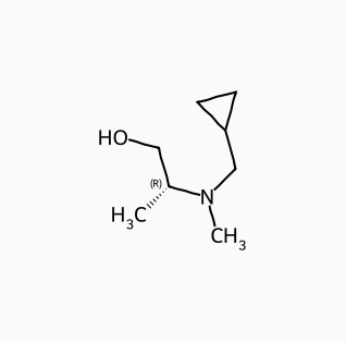 C[C@H](CO)N(C)CC1CC1